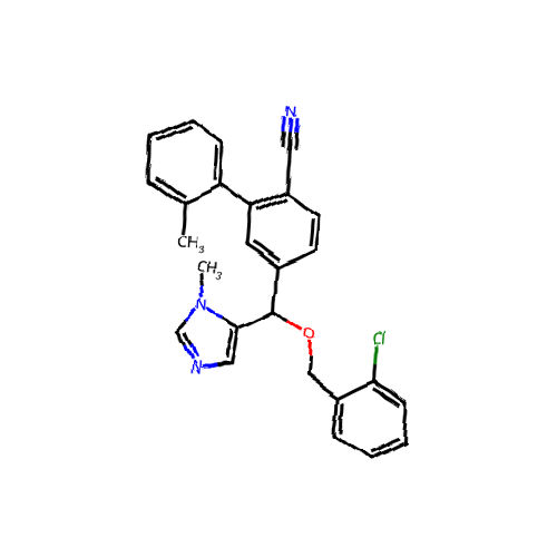 Cc1ccccc1-c1cc(C(OCc2ccccc2Cl)c2cncn2C)ccc1C#N